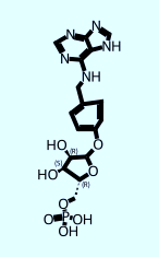 O=P(O)(O)OC[C@H]1OC(Oc2ccc(CNc3ncnc4nc[nH]c34)cc2)[C@H](O)[C@@H]1O